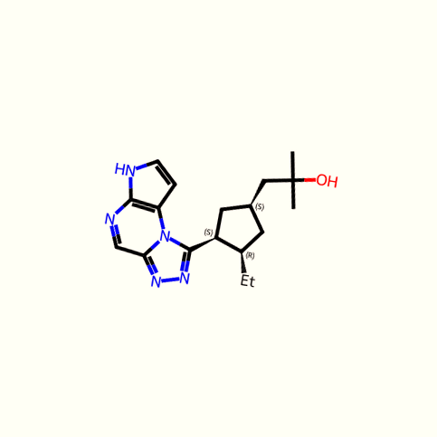 CC[C@@H]1C[C@H](CC(C)(C)O)C[C@@H]1c1nnc2cnc3[nH]ccc3n12